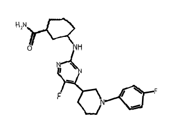 NC(=O)C1CCCC(Nc2ncc(F)c(C3CCCN(c4ccc(F)cc4)C3)n2)C1